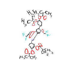 C=C(C)C(=O)Oc1ccc(/C=C/c2cc(OC=C(F)F)c(-c3ccc(OC(=O)C(=C)C)c(OC(=O)C(=C)C)c3)cc2OC=C(F)F)cc1OC(=O)C(=C)C